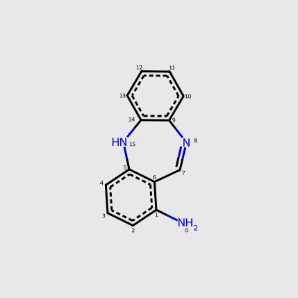 Nc1cccc2c1C=Nc1ccccc1N2